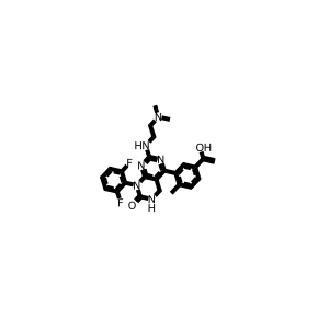 C=C(O)c1ccc(C)c(-c2nc(NCCN(C)C)nc3c2CNC(=O)N3c2c(F)cccc2F)c1